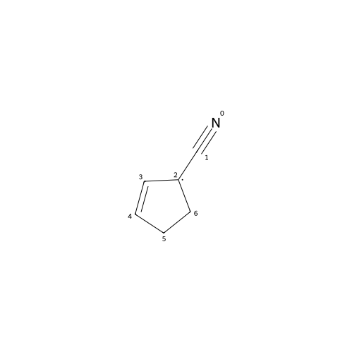 N#C[C]1C=CCC1